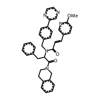 COc1ccc(C=CC(=O)N(Cc2ccc(-c3cnccn3)cc2)C(Cc2ccccc2)C(=O)N2CCc3ccccc3C2)cn1